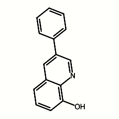 Oc1cccc2cc(-c3ccccc3)cnc12